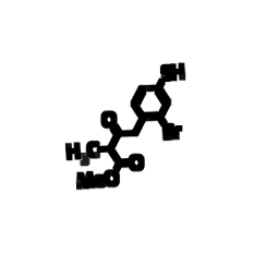 COC(=O)C(C)C(=O)Cc1ccc(S)cc1Br